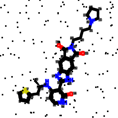 C[C@@H](Cc1cccs1)Nc1cc[nH]c(=O)c1-c1nc2cc3c(cc2[nH]1)C(=O)N(CCCCN1CCCC1)C3=O